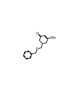 O=C1C=C(O)CC(COCc2ccccc2)C1